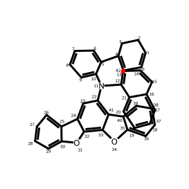 C1=CCCC(c2ccccc2N(c2cccc3ccccc23)c2cc3c4ccccc4oc3c3oc4ccccc4c23)=C1